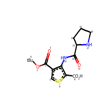 CC(C)(C)OC(=O)c1csc(C(=O)O)c1NC(=O)C1CCCN1